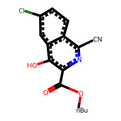 CCCCOC(=O)c1nc(C#N)c2ccc(Cl)cc2c1O